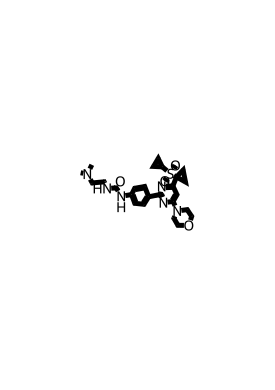 CN(C)CCNC(=O)Nc1ccc(-c2nc(N3CCOCC3)cc(C3(S(=O)(=O)C4CC4)CC3)n2)cc1